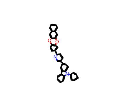 c1ccc(-n2c3ccccc3c3cc(-c4ccc(-c5ccc6c(c5)Oc5cc7ccccc7cc5O6)nc4)ccc32)cc1